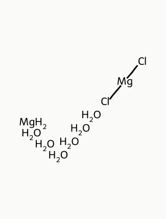 O.O.O.O.O.O.[Cl][Mg][Cl].[MgH2]